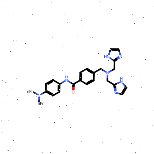 CCCN(CCC)c1ccc(NC(=O)c2ccc(CN(Cc3ncc[nH]3)Cc3ncc[nH]3)cc2)cc1